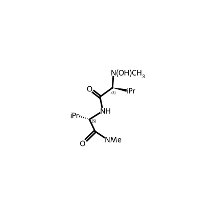 CNC(=O)[C@@H](NC(=O)[C@H](C(C)C)N(C)O)C(C)C